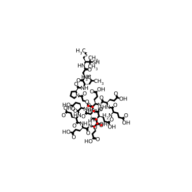 CSC[C@H](NC(=O)CNC(=O)[C@H](CC(C)C)NC(=O)[C@@H]1CCCN1C(=O)COCCNC(=O)[C@@H](CCC(=O)O)NC(=O)[C@@H](CCC(=O)O)NC(=O)[C@@H](CCC(=O)O)NC(=O)[C@@H](CCC(=O)O)NC(=O)[C@@H](CCC(=O)O)NC(=O)[C@@H](CCC(=O)O)NC(=O)[C@@H](CCC(=O)O)NC(=O)[C@@H](CCC(=O)O)NC(=O)[C@H](N)CCC(=O)O)C(C)(C)S